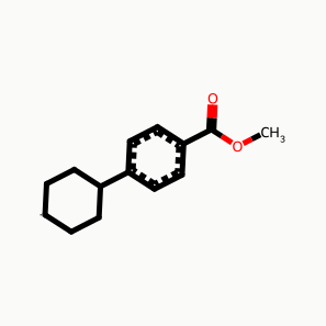 COC(=O)c1ccc(C2CC[CH]CC2)cc1